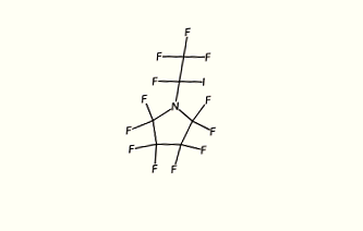 FC(F)(F)C(F)(I)N1C(F)(F)C(F)(F)C(F)(F)C1(F)F